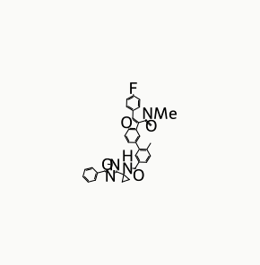 CNC(=O)c1c(-c2ccc(F)cc2)oc2ccc(-c3cc(C(=O)NC4(c5noc(-c6ccccc6)n5)CC4)ccc3C)cc12